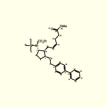 CCOC(=O)N([C@H]1CC[C@H](OCc2ccc(-c3ccccc3)cc2)[C@@H]1C/C=C\CCC(=O)OC)[Si](C)(C)C